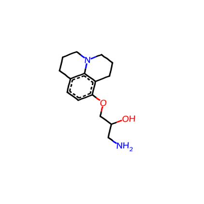 NCC(O)COc1ccc2c3c1CCCN3CCC2